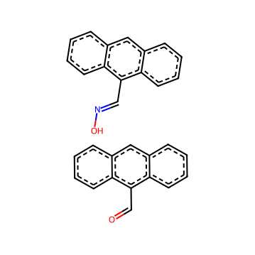 O=Cc1c2ccccc2cc2ccccc12.ON=Cc1c2ccccc2cc2ccccc12